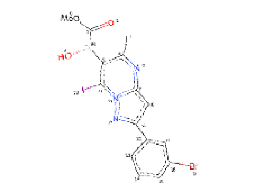 COC(=O)[C@@H](O)c1c(C)nc2cc(-c3cccc(Br)c3)nn2c1I